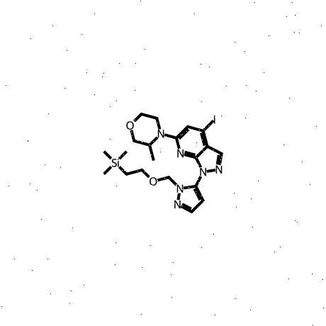 CC1COCCN1c1cc(I)c2cnn(-c3ccnn3COCC[Si](C)(C)C)c2n1